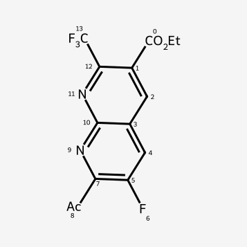 CCOC(=O)c1cc2cc(F)c(C(C)=O)nc2nc1C(F)(F)F